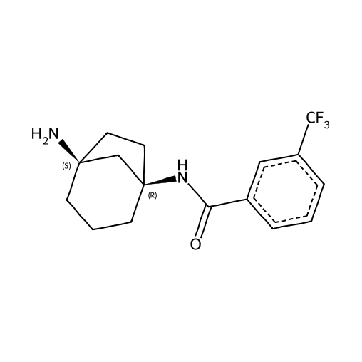 N[C@@]12CCC[C@@](NC(=O)c3cccc(C(F)(F)F)c3)(CC1)C2